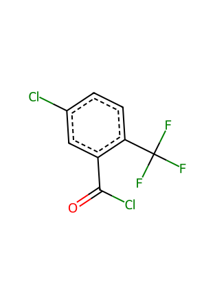 O=C(Cl)c1cc(Cl)ccc1C(F)(F)F